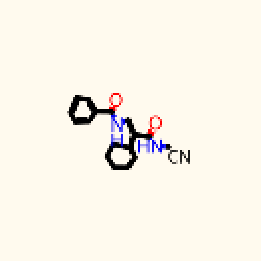 N#CCNC(=O)C(CNC(=O)c1ccccc1)C1CCCCC1